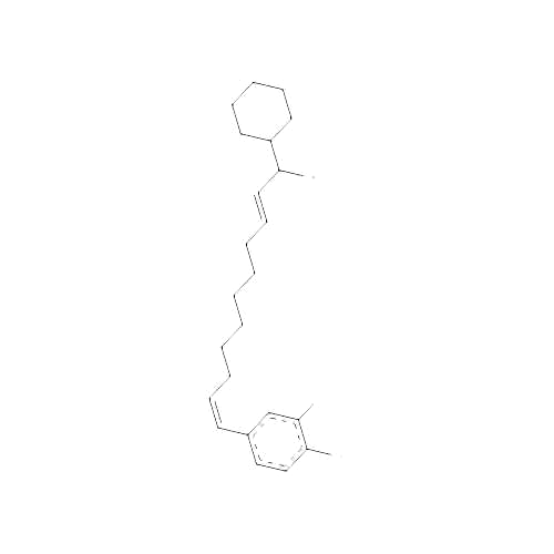 Oc1ccc(/C=C\CCCCCC/C=C/C(O)C2CCCCC2)cc1O